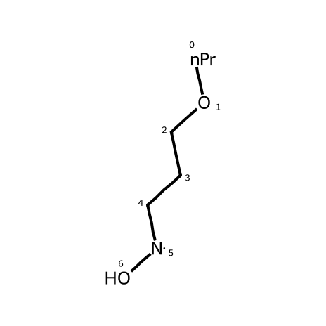 CCCOCCC[N]O